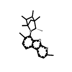 Cc1ccc2c(n1)oc1c(N3[C@@H](C)C4(C)CC3(C)C(C)C4C)c(C)ccc12